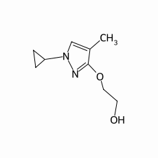 Cc1cn(C2CC2)nc1OCCO